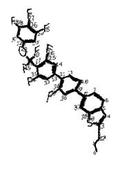 CCCc1cc2ccc(-c3ccc(-c4cc(F)c(C(F)(F)Oc5cc(F)c(F)c(F)c5)c(F)c4)c(F)c3)cc2s1